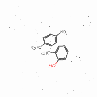 O=Cc1ccc([N+](=O)[O-])cc1.O=Cc1ccccc1O